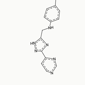 Brc1ccc(NCc2nc(-c3ccncn3)n[nH]2)cc1